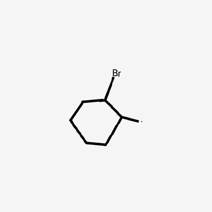 [CH2]C1CCCCC1Br